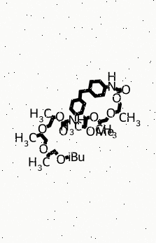 CCC(C)OCC(C)OCC(C)OCC(C)OC(=O)NC1CCC(CC2CCC(NC(=O)OCC(C)OCC(C)OCC(C)OC)CC2)CC1